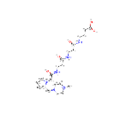 [13CH3][15N]1CCN([13CH2][13CH]2[13CH2][13CH2][13CH2]N2[13CH2]C(=O)[15NH]CC[13C](=O)[15NH]CC[13C](=O)NCCCC(=O)O)[13CH2][13CH2]1